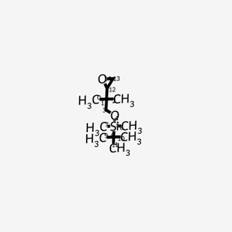 CC(C)(CO[Si](C)(C)C(C)(C)C)C1CO1